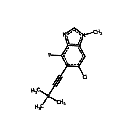 Cn1cnc2c(F)c(C#C[Si](C)(C)C)c(Cl)cc21